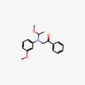 COc1cccc(N(CC(=O)c2ccccc2)C(C)OC)c1